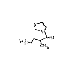 CCC[C@H](C)C(=O)N1CCSC1